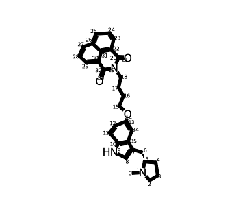 CN1CCC[C@H]1Cc1c[nH]c2ccc(OCCCCN3C(=O)c4cccc5cccc(c45)C3=O)cc12